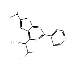 CC(C)c1cc2c(C(N)C(C)N)nc(-c3ccncc3)nc2s1